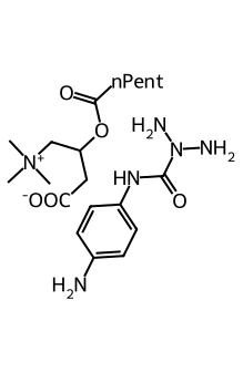 CCCCCC(=O)OC(CC(=O)[O-])C[N+](C)(C)C.Nc1ccc(NC(=O)N(N)N)cc1